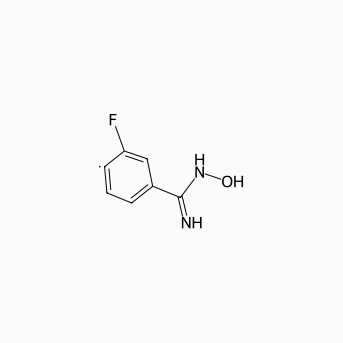 N=C(NO)c1cc[c]c(F)c1